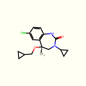 O=C1Nc2ccc(Cl)cc2[C@](OCC2CC2)(C(F)(F)F)CN1C1CC1